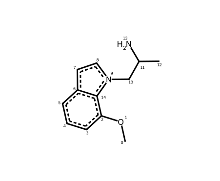 COc1cccc2ccn(CC(C)N)c12